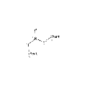 CCCC(C)CN(C)CC(C)CCC